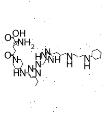 CCc1cc(NC2CCN(C(=O)CC[C@H](N)C(=O)O)CC2)nc(NCc2nnc(CCCNCCCNC3CCCCC3)[nH]2)n1